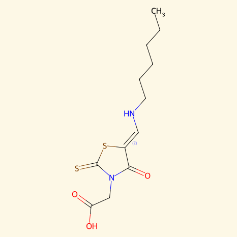 CCCCCCN/C=C1\SC(=S)N(CC(=O)O)C1=O